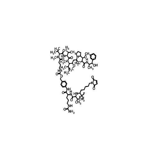 CCC(C)C(C(CC(=O)N1CCCC1C(OC)C(C)C(=O)NC(C)C(O)c1ccccc1)OC)N(C)C(=O)C(NC(=O)C(C(C)C)N(C)C(=O)CCCNC(=O)OCc1ccc(NC(=O)C(CCCNC(N)=O)NC(=O)C(NC(CCCCCN2C(=O)C=CC2=O)C(F)(F)F)C(C)C)cc1)C(C)C